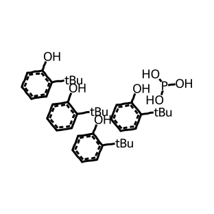 CC(C)(C)c1ccccc1O.CC(C)(C)c1ccccc1O.CC(C)(C)c1ccccc1O.CC(C)(C)c1ccccc1O.OP(O)O